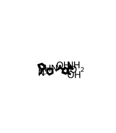 CN(C[C@H]1CC[C@@H](NCC(O)c2ccc(O)c(C(N)=O)c2)CC1)c1ccccc1